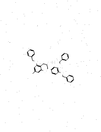 Cc1cc(OCc2ccccc2)c2c(c1)O[C@H](c1ccc(OCc3ccccc3)c(OCc3ccccc3)c1)[C@@H](O)C2